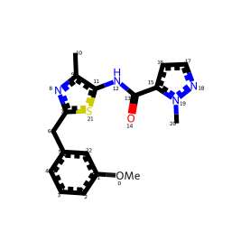 COc1cccc(Cc2nc(C)c(NC(=O)c3ccnn3C)s2)c1